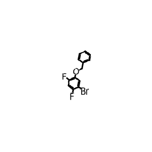 Fc1cc(F)c(OCc2ccccc2)cc1Br